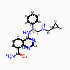 NC(=O)c1cccc2c(N[C@H](CNCC3CC3)c3ccccc3)ncnc12